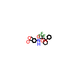 O=C1OCc2cc(NC(=O)C(O)(CC3(c4ccccc4)CCCCC3)C(F)(F)F)ccc21